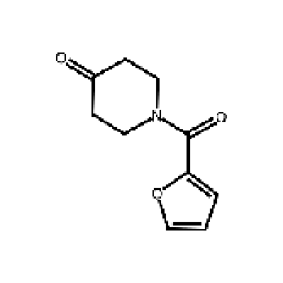 O=C1CCN(C(=O)c2ccco2)CC1